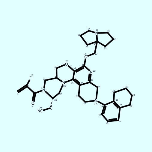 C=C(F)C(=O)N1CC2COc3c(OCC45CCCN4CCC5)nc4c(c3N2C[C@@H]1CC#N)CCN(c1cccc2c1CCCC2)C4